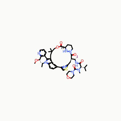 CCn1c(-c2cccnc2[C@H](C)OC)c2c3cc(ccc31)-c1csc(n1)C[C@H]([C@H](I)NC(=O)[C@H](C(C)C)N(C)C(=O)N1CCOCC1)C(=O)N1CCC[C@H](N1)C(=O)OCC(C)(C)C2